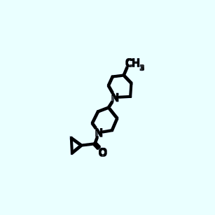 CC1CCN(C2CCN(C(=O)C3CC3)CC2)CC1